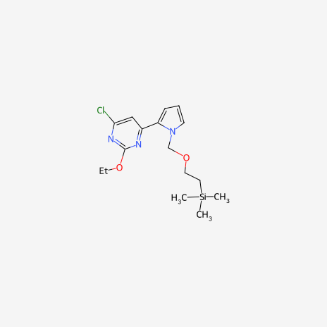 CCOc1nc(Cl)cc(-c2cccn2COCC[Si](C)(C)C)n1